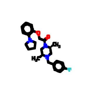 C[C@@H]1CN(Cc2ccc(F)cc2)[C@@H](C)CN1C(=O)COc1ccccc1N1CCCC1